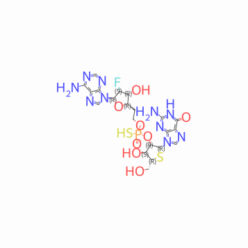 Nc1nc2c(ncn2[C@@H]2S[C@H](CO)[C@@H](O)[C@H]2OP(=O)(S)OCC[C@H]2O[C@@H](n3cnc4c(N)ncnc43)[C@@H](F)[C@@H]2O)c(=O)[nH]1